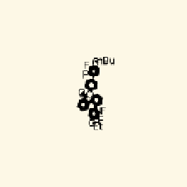 CCCCOc1ccc([C@H]2CC[C@H](OC(=O)c3ccccc3-c3ccccc3-c3ccc(OCC)c(F)c3F)CC2)c(F)c1F